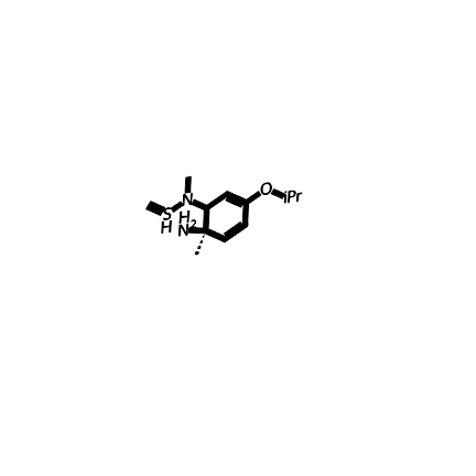 C=[SH]N(C)C1C=C(OC(C)C)C=C[C@@]1(C)N